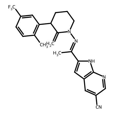 C=C1C(c2cc(C(F)(F)F)ccc2C)CCCN1/N=C(\C)c1cc2cc(C#N)cnc2[nH]1